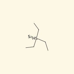 CC[SH](=S)(CC)CC